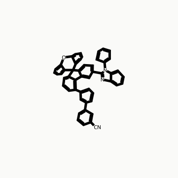 N#Cc1cccc(-c2cccc(-c3cccc4c3-c3cc(-c5nc6ccccc6n5-c5ccccc5)ccc3C43c4ccccc4Oc4ccccc43)c2)c1